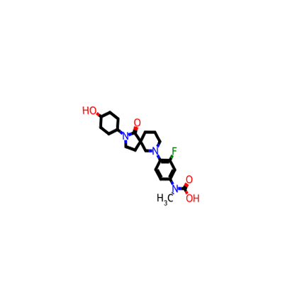 CN(C(=O)O)c1ccc(N2CCCC3(CCN(C4CCC(O)CC4)C3=O)C2)c(F)c1